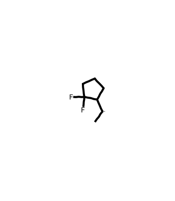 C[CH]C1CCCC1(F)F